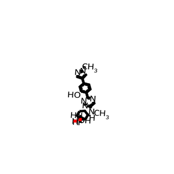 CN(c1cnc(-c2ccc(-c3cnn(C)c3)cc2O)nn1)[C@H]1CC2C[C@H](F)C1[C@H](O)N2